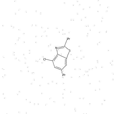 CC(C)c1cc(Cl)c2nc(C(C)C)sc2c1